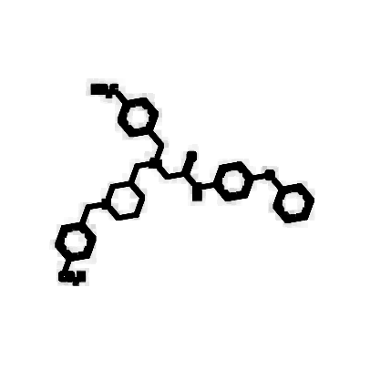 O=C(C[As](Cc1ccc(C(=O)O)cc1)CC1CCCN(Cc2ccc(C(=O)O)cc2)C1)Nc1ccc(Oc2ccccc2)cc1